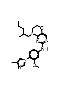 CCCC(C)CN1CCOc2cnc(Nc3ccc(-n4cnc(C)c4)c(OC)c3)nc21